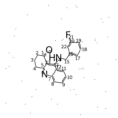 O=C1CCCc2nc3ccccc3c(NCc3cccc(F)c3)c21